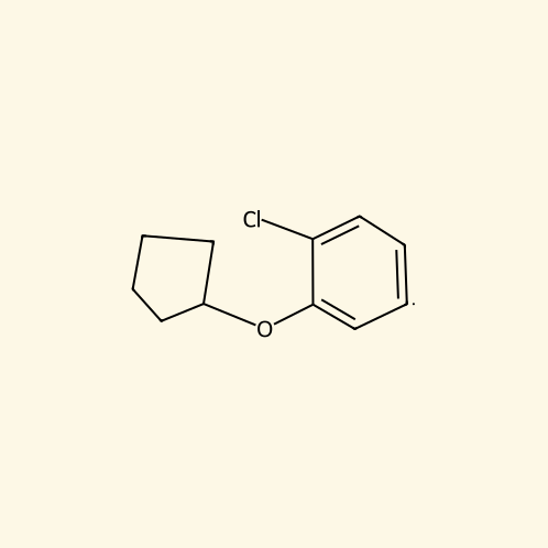 Clc1cc[c]cc1OC1CCCC1